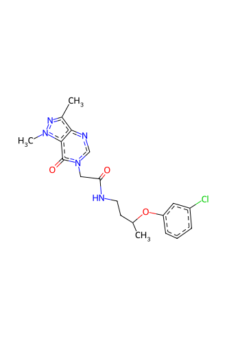 Cc1nn(C)c2c(=O)n(CC(=O)NCCC(C)Oc3cccc(Cl)c3)cnc12